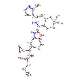 CC(C)n1nccc1C(=O)N[C@H](c1nc2cc([C@H](NC(=O)CCC(F)(F)F)C3CC3)ccc2o1)C1CCC(F)(F)CC1